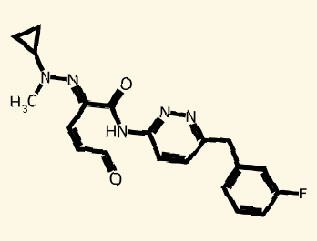 CN(/N=C(\C=C/C=O)C(=O)Nc1ccc(Cc2cccc(F)c2)nn1)C1CC1